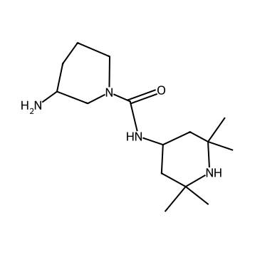 CC1(C)CC(NC(=O)N2CCCC(N)C2)CC(C)(C)N1